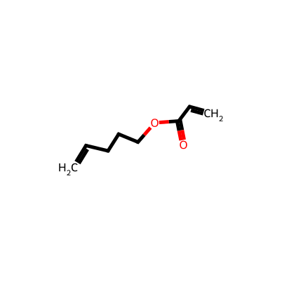 C=CCCCOC(=O)C=C